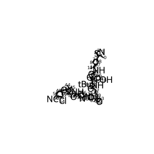 Cc1ncsc1-c1ccc([C@H](C)NC(=O)[C@@H]2C[C@@H](O)CN2C(=O)C(NC(=O)CCCC2(N3CCN(c4ccc(C(=O)NC5C(C)(C)C(Oc6ccc(C#N)c(Cl)c6)C5(C)C)cn4)CC3)COC2)C(C)(C)C)cc1